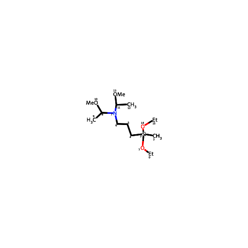 CCO[Si](C)(CCCN(C(C)OC)C(C)OC)OCC